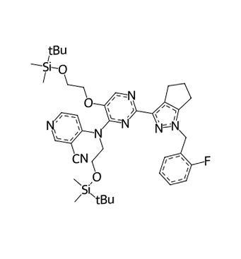 CC(C)(C)[Si](C)(C)OCCOc1cnc(-c2nn(Cc3ccccc3F)c3c2CCC3)nc1N(CCO[Si](C)(C)C(C)(C)C)c1ccncc1C#N